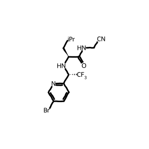 CC(C)C[C@H](N[C@@H](c1ccc(Br)cn1)C(F)(F)F)C(=O)NCC#N